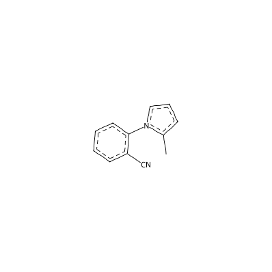 Cc1cccn1-c1ccccc1C#N